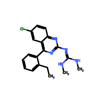 CCc1ccccc1-c1nc(N=C(NC)NC)nc2ccc(Cl)cc12